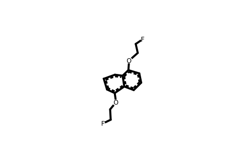 FCCOc1cccc2c(OCCF)cccc12